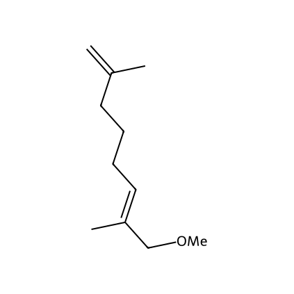 C=C(C)CCCC=C(C)COC